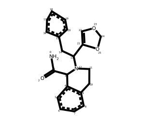 NC(=O)C1c2cc[c]cc2CCN1C(Cc1ccccc1)C1=COCO1